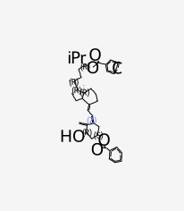 C=C1/C(=C\C=C2CCC[C@@]3(C)C2CC[C@@H]3[C@H](C)CC[C@@H](OC(=O)c2ccccc2)C(C)C)C[C@H](OC(=O)c2ccccc2)C[C@H]1O